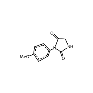 COc1ccc(N2C(=O)CNC2=O)cc1